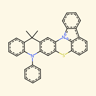 CC1(C)c2ccccc2N(c2ccccc2)c2cc3c(cc21)-n1c2ccccc2c2cccc(c21)S3